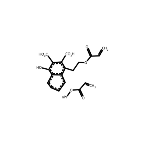 C=CC(=O)OCCC.C=CC(=O)OCCc1c(C(=O)O)c(C(=O)O)c(O)c2ccccc12